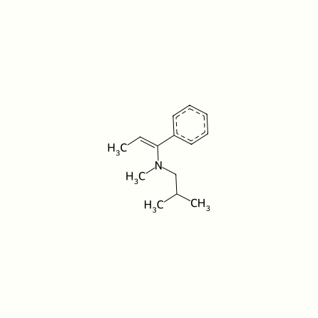 C/C=C(/c1ccccc1)N(C)CC(C)C